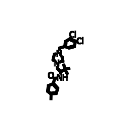 Cc1ccc(C(=O)NC(CN2CCN(Cc3ccc(Cl)c(Cl)c3)CC2)C(C)(C)C)cc1